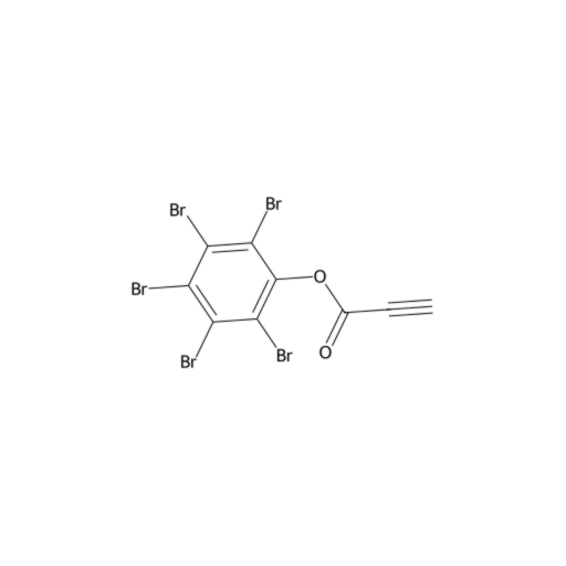 C#CC(=O)Oc1c(Br)c(Br)c(Br)c(Br)c1Br